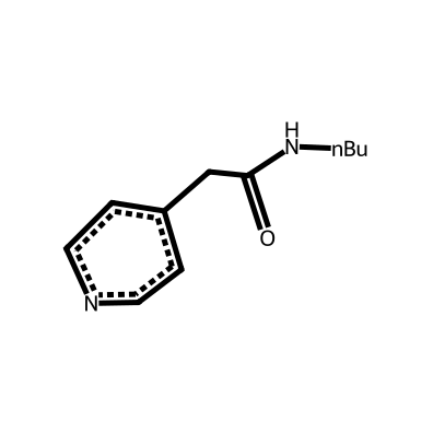 CCCCNC(=O)Cc1ccncc1